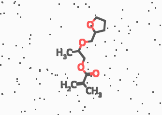 C=C(C)C(=O)OCC(C)OCC1CCCO1